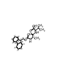 CC(C)C(NC(=O)[C@H](C)NC(=O)OCC1c2ccccc2-c2ccccc21)C(=O)O